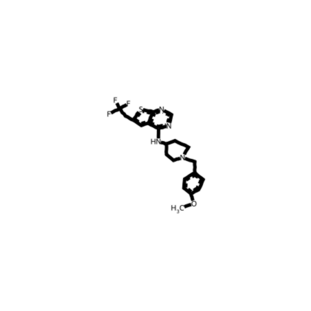 COc1ccc(CN2CCC(Nc3ncnc4sc(CC(F)(F)F)cc34)CC2)cc1